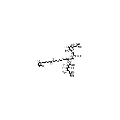 CC(CCP(=O)(O)O)C(O)C(O)C(O)C(O)OC[C@H](NC(=O)CCOCCOCCNC(=O)CCCCCN1C(=O)C=CC1=O)C(=O)N[C@@H](COC1OC(CCP(=O)(O)O)C(O)C(O)C1O)C(=O)O